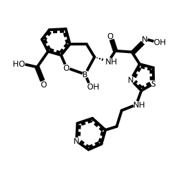 O=C(N[C@H]1Cc2cccc(C(=O)O)c2OB1O)/C(=N/O)c1csc(NCCc2ccncc2)n1